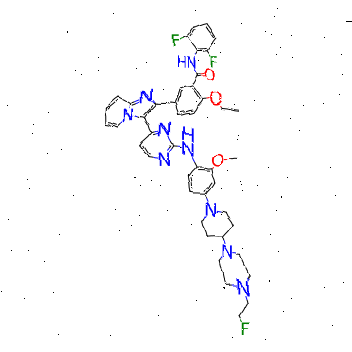 CCOc1ccc(-c2nc3ccccn3c2-c2ccnc(Nc3ccc(N4CCC(N5CCN(CCF)CC5)CC4)cc3OC)n2)cc1C(=O)Nc1c(F)cccc1F